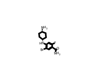 NC(=O)c1cc(Br)c(N[C@H]2CC[C@H](N)CC2)cc1F